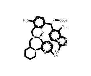 Cc1ccc([C@H](CC(=O)O)c2ccn3c(C(F)(F)F)nnc3c2C)cc1CN1CC2CCCCN2c2nc(C#N)ccc2[S+]1[O-]